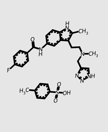 Cc1[nH]c2ccc(NC(=O)c3ccc(F)cc3)cc2c1CCN(C)Cc1c[nH]nn1.Cc1ccc(S(=O)(=O)O)cc1